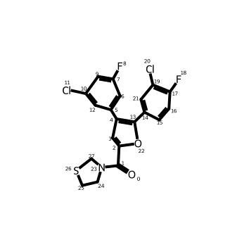 O=C(c1cc(-c2cc(F)cc(Cl)c2)c(-c2ccc(F)c(Cl)c2)o1)N1CCSC1